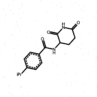 CC(C)c1ccc(C(=O)NC2CCC(=O)NC2=O)cc1